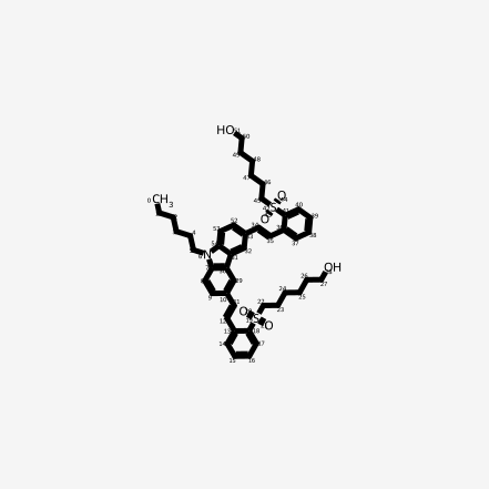 CCCCCCn1c2ccc(C=Cc3ccccc3S(=O)(=O)CCCCCCO)cc2c2cc(C=Cc3ccccc3S(=O)(=O)CCCCCCO)ccc21